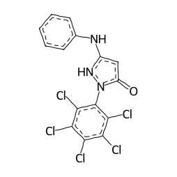 O=c1cc(Nc2ccccc2)[nH]n1-c1c(Cl)c(Cl)c(Cl)c(Cl)c1Cl